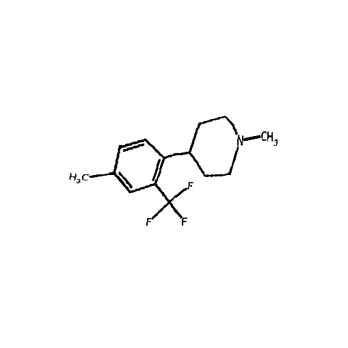 Cc1ccc(C2CCN(C)CC2)c(C(F)(F)F)c1